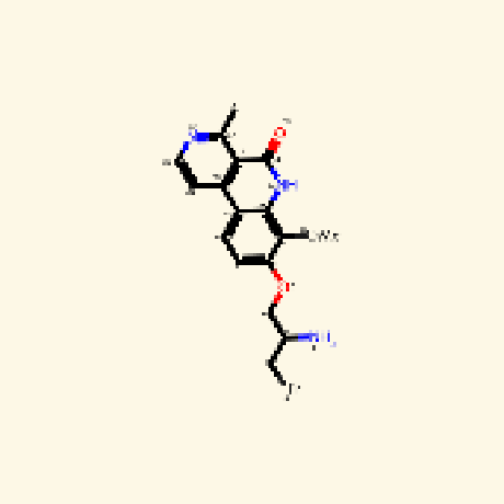 COc1c(OCC(N)CC(C)C)ccc2c1[nH]c(=O)c1c(C)nccc12